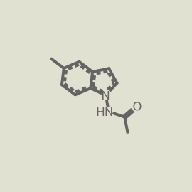 CC(=O)Nn1ccc2cc(C)ccc21